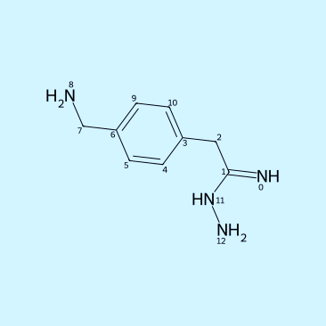 N=C(Cc1ccc(CN)cc1)NN